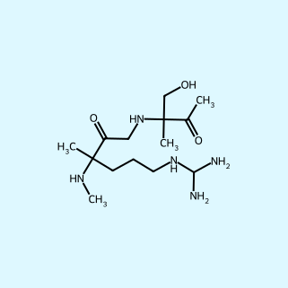 CNC(C)(CCCNC(N)N)C(=O)CNC(C)(CO)C(C)=O